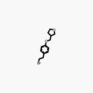 BrCCc1ccc(OCC2CCOC2)cc1